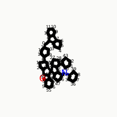 C(=C1c2ccccc2-c2ccccc21)c1ccc(-c2ccc3c(c2)C2(c4ccccc4-c4c(N(c5ccccc5)c5ccccc5)cccc42)c2c-3oc3ccccc23)cc1